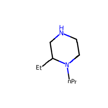 [CH2]CC1CNCCN1CCC